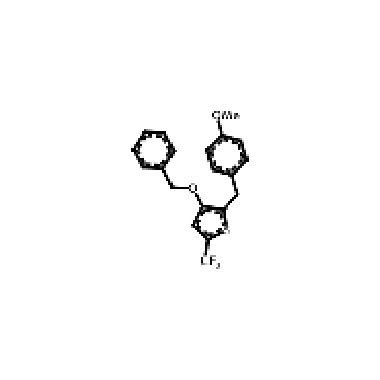 COc1ccc(Cc2sc(C(F)(F)F)cc2OCc2ccccc2)cc1